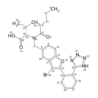 CCCCC(=O)N(Cc1ccc2oc(-c3ccccc3-c3nnn[nH]3)c(Br)c2c1)[C@H](C(=O)O)C(C)C